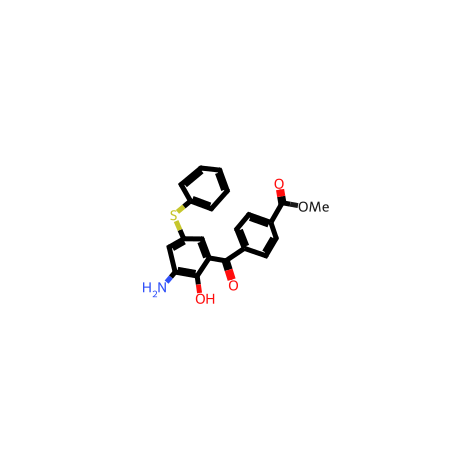 COC(=O)c1ccc(C(=O)c2cc(Sc3ccccc3)cc(N)c2O)cc1